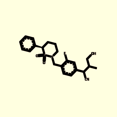 CC(CO)C(C#N)c1ccc(CN2CCC[C@H](c3ccccc3)S2(=O)=O)c(F)c1